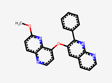 COc1ccc2nccc(Oc3cc4cccnc4nc3-c3ccccc3)c2n1